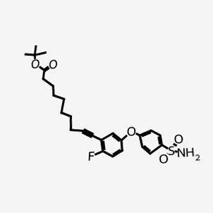 CC(C)(C)OC(=O)CCCCCCCC#Cc1cc(Oc2ccc(S(N)(=O)=O)cc2)ccc1F